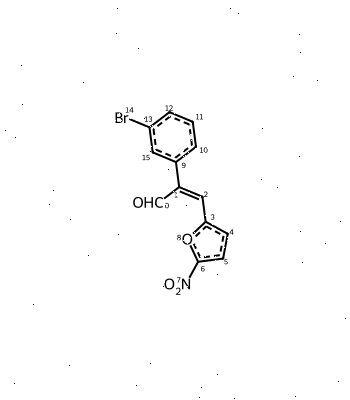 O=C/C(=C\c1ccc([N+](=O)[O-])o1)c1cccc(Br)c1